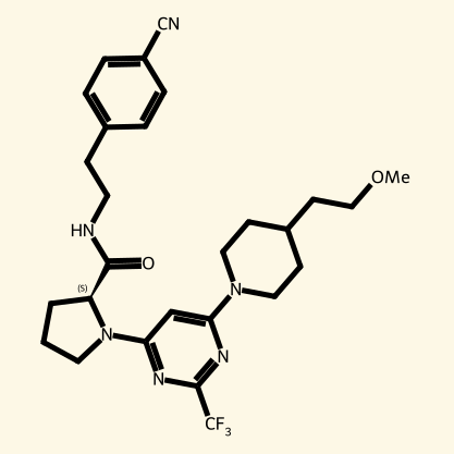 COCCC1CCN(c2cc(N3CCC[C@H]3C(=O)NCCc3ccc(C#N)cc3)nc(C(F)(F)F)n2)CC1